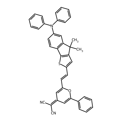 CC1(C)c2cc(N(c3ccccc3)c3ccccc3)ccc2-c2sc(/C=C/C3=CC(=C(C#N)C#N)C=C(c4ccccc4)O3)cc21